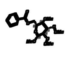 COO[C@@H]1[C@@H](OOC)[C@@H](OC)O[C@H](COC(=O)c2ccccc2)[C@H]1OC